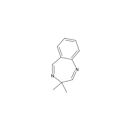 CC1(C)C=Nc2ccccc2C=N1